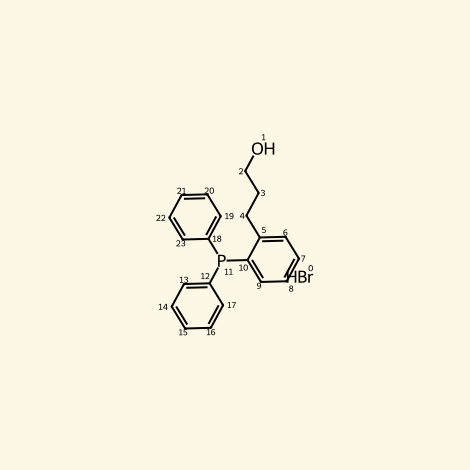 Br.OCCCc1ccccc1P(c1ccccc1)c1ccccc1